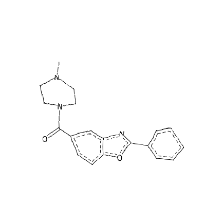 CN1CCN(C(=O)c2ccc3oc(-c4ccccc4)nc3c2)CC1